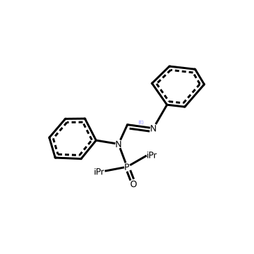 CC(C)P(=O)(C(C)C)N(/C=N/c1ccccc1)c1ccccc1